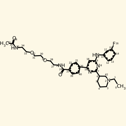 CCN1CCCC(c2nc(Nc3cccc(F)c3)cc(-c3ccc(C(=O)NCCOCCOCCNC(C)=O)cc3)n2)C1